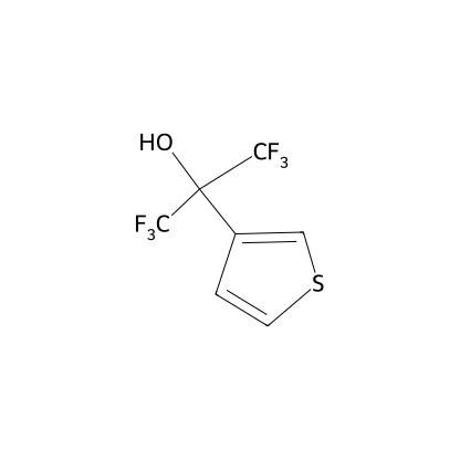 OC(c1ccsc1)(C(F)(F)F)C(F)(F)F